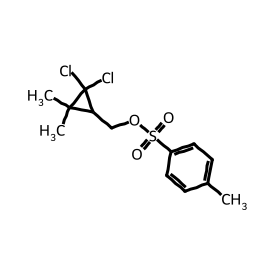 Cc1ccc(S(=O)(=O)OCC2C(C)(C)C2(Cl)Cl)cc1